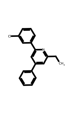 CCc1cc(-c2ccccc2)cc(-c2cccc(Cl)c2)n1